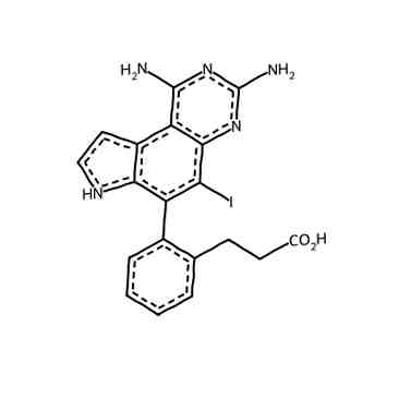 Nc1nc(N)c2c(n1)c(I)c(-c1ccccc1CCC(=O)O)c1[nH]ccc12